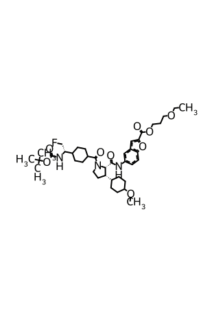 CCOCCCOC(=O)c1cc2cc(NC(=O)[C@@H]3[C@H](C4CCC(OC)CC4)CCN3C(=O)C3CCC([C@@H](CF)NC(=O)OC(C)(C)C)CC3)ccc2o1